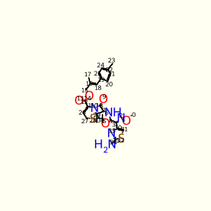 CON=C(C(=O)NC1C(=O)N2C(C(=O)OCC(C)=Cc3ccc(C)cc3)=CCS[C@@H]12)c1csc(N)n1